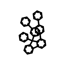 c1ccc(-c2ccc(-c3cccc4c3C(c3ccccc3)(c3cccc(-c5ccccc5)c3)c3ccccc3-4)cc2)cc1